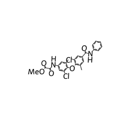 COC(=O)C(=O)Nc1cc(Cl)c(Oc2c(C)cc(C(=O)Nc3ccccc3)cc2C)c(Cl)c1